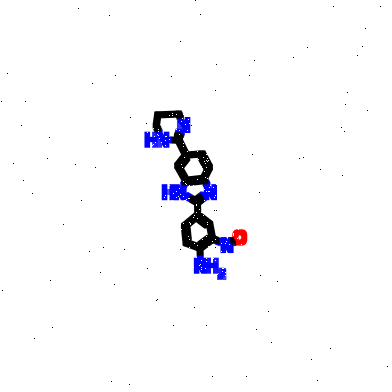 Nc1ccc(-c2nc3ccc(C4=NCCCN4)cc3[nH]2)cc1N=O